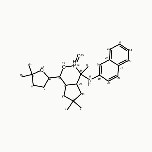 CC1(C)CC2C(C3CCC(C)(C)O3)O[PH](=O)C(C)(Nc3ccc4ccccc4c3)C2C1